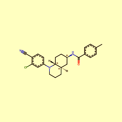 Cc1ccc(C(=O)N[C@@H]2CC[C@@H]3[C@H](CCCN3c3ccc(C#N)c(Cl)c3)C2)cc1